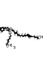 CCCCCC=CCC=CCCCCCCCCOC1CN(Cc2ccccc2)CC1OCCCCCCCC